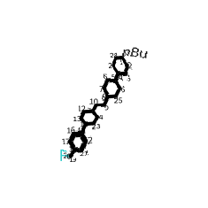 CCCCC1CCC(C2CCC(CCC3CCC(c4ccc(CF)cc4)CC3)CC2)CC1